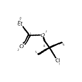 CCC(=O)OC(C)(C)Cl